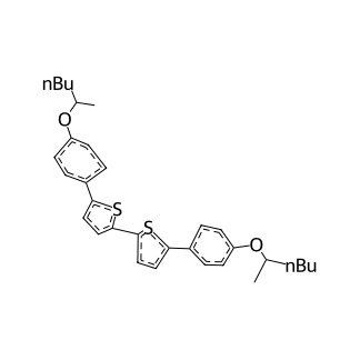 CCCCC(C)Oc1ccc(-c2ccc(-c3ccc(-c4ccc(OC(C)CCCC)cc4)s3)s2)cc1